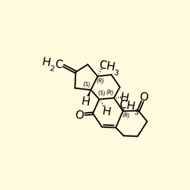 C=C1C[C@H]2[C@@H]3C(=O)C=C4CCCC(=O)[C@]4(C)[C@@H]3CC[C@]2(C)C1